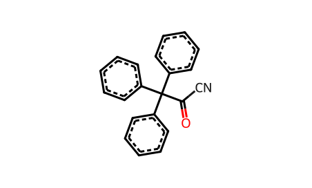 N#CC(=O)C(c1ccccc1)(c1ccccc1)c1ccccc1